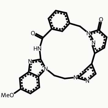 COc1ccc2c(c1)nc1n2CCn2cc(cn2)-c2ccc(=O)n(n2)Cc2cccc(c2)C(=O)N1